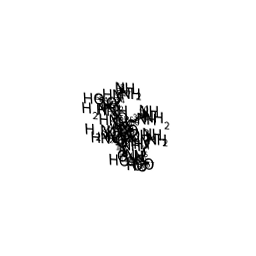 N=C(N)NCCC[C@H](NC(=O)[C@H](CO)NC(=O)[C@H](CCCNC(=N)N)NC(=O)[C@H](CO)NC(=O)[C@H](CCCNC(=N)N)NC(=O)[C@H](CO)NC(=O)[C@H](CCCNC(=N)N)NC(=O)[C@@H](N)CO)C(=O)O